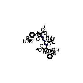 CCOC(=O)C1=NN(c2cccc(S(=O)(=O)O)c2)C(=O)\C1=C/C=C(/C=C/c1cn(-c2ccccc2S(=O)(=O)O)nc1C(=O)OCC)NC(=O)C(CC)(CC)CC